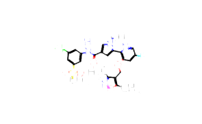 Cc1noc(C)c1COc1cc(F)cnc1-c1cc(C(=O)Nc2cc(Cl)cc(S(C)(=O)=O)c2)cn1C